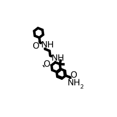 CO[C@H]1Cc2ccc(C(N)=O)cc2C(C)(C)[C@@H]1NCCCNC(=O)C1CCCCC1